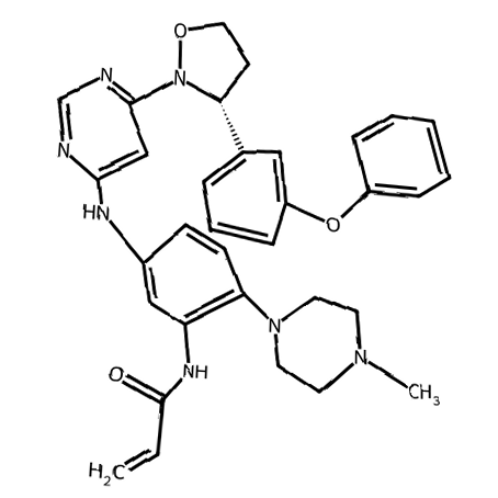 C=CC(=O)Nc1cc(Nc2cc(N3OCC[C@@H]3c3cccc(Oc4ccccc4)c3)ncn2)ccc1N1CCN(C)CC1